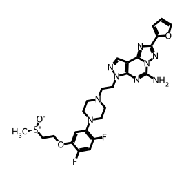 C[S@@+]([O-])CCOc1cc(N2CCN(CCn3ncc4c3nc(N)n3nc(-c5ccco5)nc43)CC2)c(F)cc1F